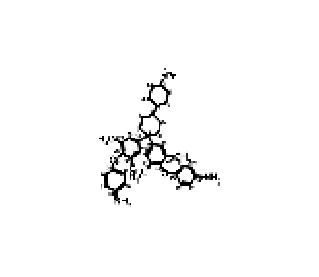 CCCC1CCC(C2CCC(c3cc(C)c(Oc4ccc(N)cc4)c(C)c3)(c3cc(C)c(Oc4ccc(N)cc4)c(C)c3)CC2)CC1